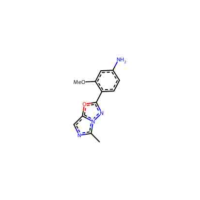 COc1cc(N)ccc1-c1nn2c(C)ncc2o1